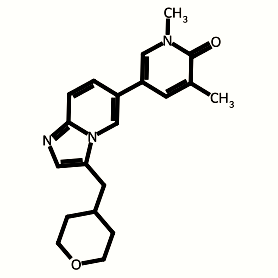 Cc1cc(-c2ccc3ncc(CC4CCOCC4)n3c2)cn(C)c1=O